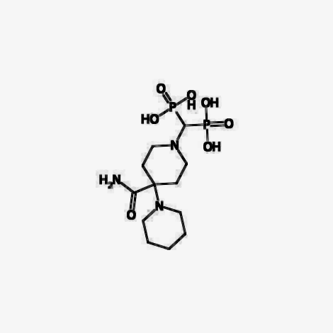 NC(=O)C1(N2CCCCC2)CCN(C(P(=O)(O)O)P(=O)(O)O)CC1